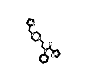 O=C(c1ccco1)N(CCN1CCN(Cc2cccs2)CC1)c1ccccc1